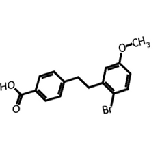 COc1ccc(Br)c(CCc2ccc(C(=O)O)cc2)c1